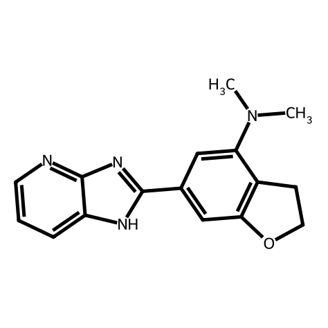 CN(C)c1cc(-c2nc3ncccc3[nH]2)cc2c1CCO2